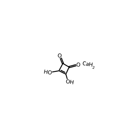 O=c1c(O)c(O)c1=O.[CaH2]